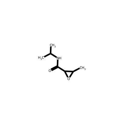 CC(C)NC(=O)C1OC1C